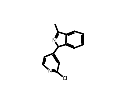 CC1=NC(c2ccnc(Cl)c2)c2ccccc21